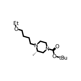 CCOCCCCN1CCN(C(=O)OC(C)(C)C)C[C@@H]1C